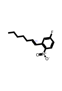 CCCCC/C=C/c1cc(F)ccc1[N+](=O)[O-]